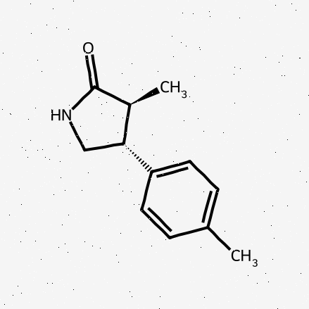 Cc1ccc([C@@H]2CNC(=O)[C@H]2C)cc1